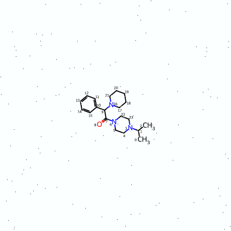 CC(C)N1CCN(C(=O)C(c2ccccc2)N2CCCCC2)CC1